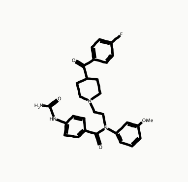 COc1cccc(N(CCN2CCC(C(=O)c3ccc(F)cc3)CC2)C(=O)c2ccc(NC(N)=O)cc2)c1